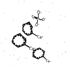 O=P([O-])([O-])[O-].[Ca+][c]1ccccc1.[Ca+][c]1ccccc1.[Ca+][c]1ccccc1